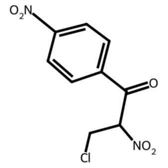 O=C(c1ccc([N+](=O)[O-])cc1)C(CCl)[N+](=O)[O-]